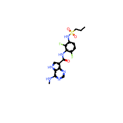 CCCS(=O)(=O)Nc1ccc(F)c(NC(=O)c2c[nH]c3c(NC)ncnc23)c1F